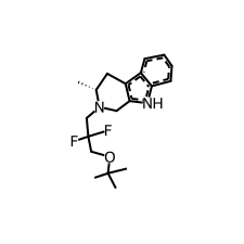 C[C@@H]1Cc2c([nH]c3ccccc23)CN1CC(F)(F)COC(C)(C)C